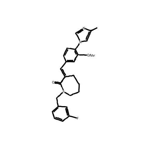 COc1cc(C=C2CCCCN(Cc3cccc(F)c3)C2=O)ccc1-n1cnc(C)c1